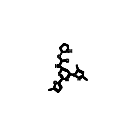 Cc1cc(C)n(-c2cc(NC(=O)O[C@@H]3CCCN3)nc(-c3ccc(C)o3)n2)n1